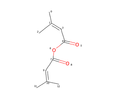 CC(C)=CC(=O)OC(=O)C=C(C)C